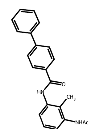 CC(=O)Nc1cccc(NC(=O)c2ccc(-c3ccccc3)cc2)c1C